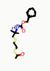 CC(=O)SCCSCC(C)(C)NC(=O)OCc1ccccc1